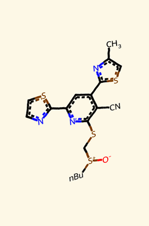 CCCC[S+]([O-])CSc1nc(-c2nccs2)cc(-c2nc(C)cs2)c1C#N